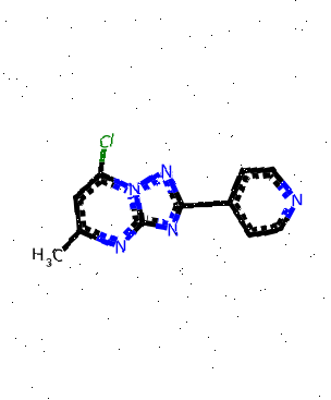 Cc1cc(Cl)n2nc(-c3ccncc3)nc2n1